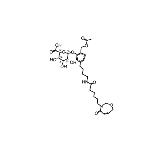 CC(=O)OCc1ccc(CCCCNC(=O)CCCCCN2COCC=CC2=O)cc1O[C@@H]1O[C@H](C(=O)O)[C@@H](O)[C@H](O)[C@H]1O